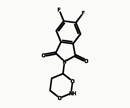 O=C1c2cc(F)c(F)cc2C(=O)N1C1CCONO1